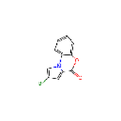 O=c1oc2ccccc2n2cc(Br)cc12